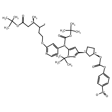 C[C@H](CC(=O)OC(C)(C)C)C(F)CCOc1cc(N(C(=O)OC(C)(C)C)c2cc([C@H]3CC[C@@H](OC(=O)Oc4ccc([N+](=O)[O-])cc4)C3)nn2C(C)(C)C)ccn1